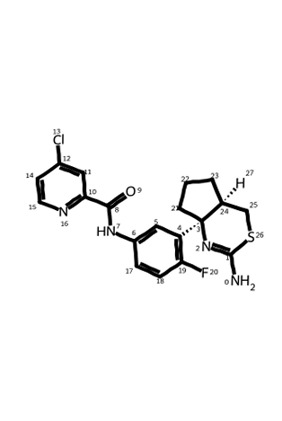 NC1=N[C@@]2(c3cc(NC(=O)c4cc(Cl)ccn4)ccc3F)CCC[C@H]2CS1